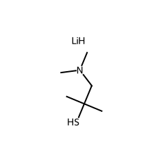 CN(C)CC(C)(C)S.[LiH]